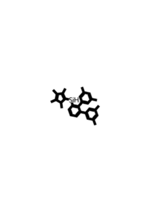 CC1=C(C)C(C)C([SiH2]c2cccc(-c3cc(C)cc(C)c3)c2-c2cc(C)cc(C)c2)=C1C